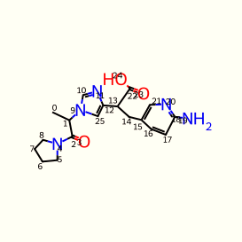 CC(C(=O)N1CCCC1)n1cnc(C(Cc2ccc(N)nc2)C(=O)O)c1